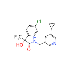 O=C(NCc1cncc(C2CC2)c1)C(O)(c1ccc(Cl)cc1)C(F)(F)F